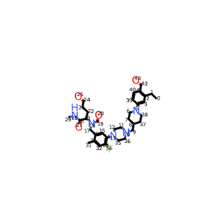 CCc1cc(N2CCC(CN3CCN(c4cc(CN(C=O)C(CCC=O)C(=O)NC)c(C)cc4F)CC3)CC2)ccc1C=O